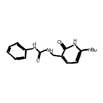 CCCCc1ccc(CNC(=O)Nc2ccccc2)c(=O)[nH]1